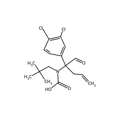 C=CCC(C=O)(c1ccc(Cl)c(Cl)c1)N(CC(C)(C)C)C(=O)O